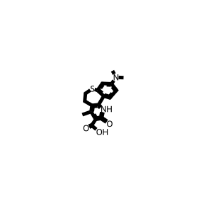 Cc1c2c([nH]c(=O)c1C(=O)O)-c1ccc(N(C)C)cc1SCC2